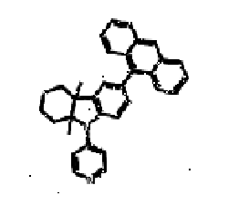 CC12CCCCC1(C)N(c1ccncc1)c1ccc(-c3c4ccccc4cc4ccccc34)cc12